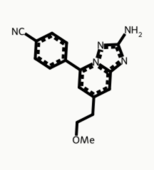 COCCc1cc(-c2ccc(C#N)cc2)n2nc(N)nc2c1